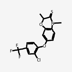 CC1Oc2cc(Oc3ccc(C(F)(F)F)cc3Cl)ccc2N(C)C1=S